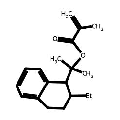 C=C(C)C(=O)OC(C)(C)C1c2ccccc2CCC1CC